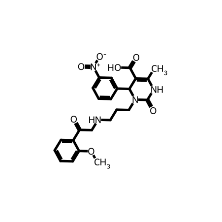 COc1ccccc1C(=O)CNCCCN1C(=O)NC(C)=C(C(=O)O)C1c1cccc([N+](=O)[O-])c1